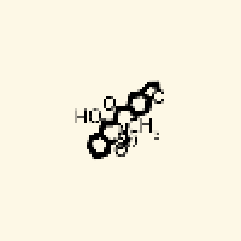 CN1C(C(=O)c2ccc3occc3c2)=C(O)c2ccccc2S1(=O)=O